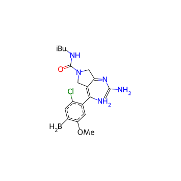 Bc1cc(Cl)c(/C(N)=C2\CN(C(=O)NC(C)CC)C\C2=N\C(=C)N)cc1OC